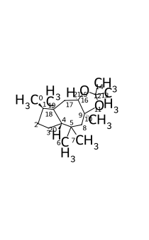 C[C@@H]1CC[C@H]2C(C)(C)C[C@]3(C)OC(C)(C)O[C@@H]3C[C@]12C